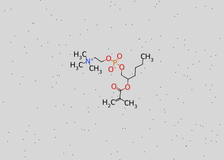 C=C(C)C(=O)OC(CCCC)COP(=O)([O-])OCC[N+](C)(C)C